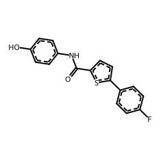 O=C(Nc1ccc(O)cc1)c1ccc(-c2ccc(F)cc2)s1